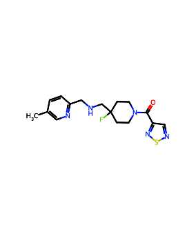 Cc1ccc(CNCC2(F)CCN(C(=O)c3cnsn3)CC2)nc1